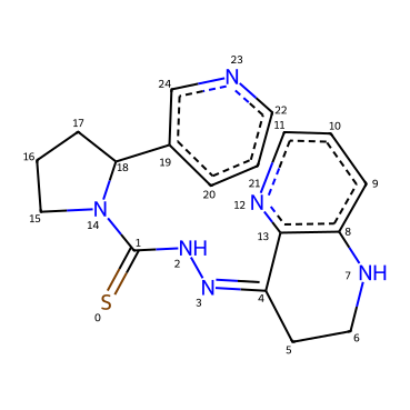 S=C(N/N=C1/CCNc2cccnc21)N1CCCC1c1cccnc1